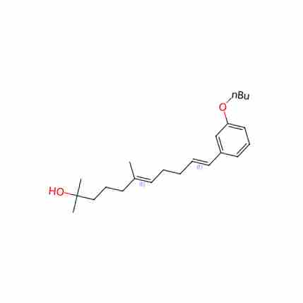 CCCCOc1cccc(/C=C/CC/C=C(\C)CCCC(C)(C)O)c1